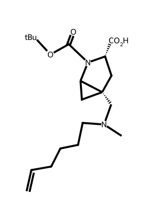 C=CCCCCN(C)C[C@]12CC1N(C(=O)OC(C)(C)C)[C@H](C(=O)O)C2